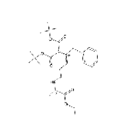 CCOC(=O)[C@H](C)NCCC[C@H](Cc1ccccc1)N(C(=O)OC(C)(C)C)C(=O)OC(C)(C)C